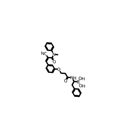 CN(C(=O)C(C#N)=Cc1cccc(OCCC(=O)NC(Cc2ccccc2)B(O)O)c1)c1ccccc1